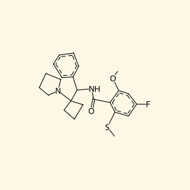 COc1cc(F)cc(SC)c1C(=O)NC(c1ccccc1)C1(N2CCCC2)CCC1